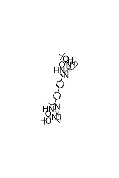 Cc1[nH]c([C@@H]2CC3CC3N2C(=O)OC(C)(C)C)nc1-c1ccc(-c2ccc(-c3c[nH]c([C@@H]4CC5CC[C@H]5N4C(=O)OC(C)(C)C)n3)cc2)cc1